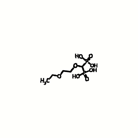 CCOCCOC(P(=O)(O)O)P(=O)(O)O